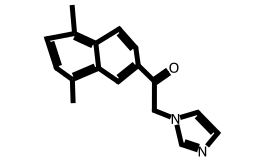 Cc1ccc(C)c2cc(C(=O)Cn3ccnc3)ccc12